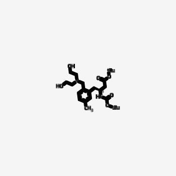 Cc1ccc(CN(CCO)CCO)c(C[C@@H](CC(=O)OC(C)(C)C)NC(=O)OC(C)(C)C)c1